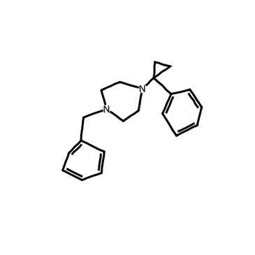 c1ccc(CN2CCN(C3(c4ccccc4)CC3)CC2)cc1